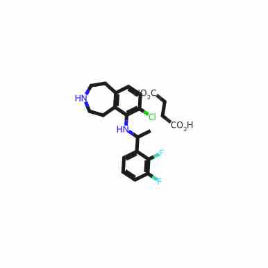 CC(Nc1c(Cl)ccc2c1CCNCC2)c1cccc(F)c1F.O=C(O)CCC(=O)O